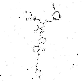 Cc1c(COc2cc(OCc3cncc(C#N)c3)c(CNCC(O)CO)cc2Cl)cccc1-c1cccc(OCCCN2CCC(C)CC2)c1Cl